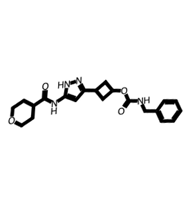 O=C(NCc1ccccc1)OC1CC(c2cc(NC(=O)C3CCOCC3)[nH]n2)C1